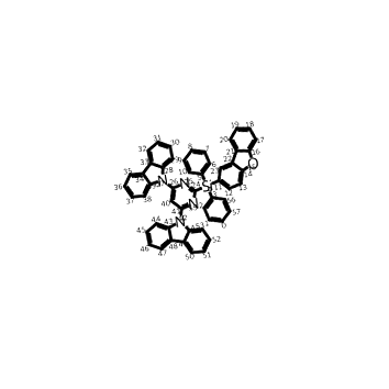 c1ccc([Si](c2ccccc2)(c2ccc3oc4ccccc4c3c2)c2nc(-n3c4ccccc4c4ccccc43)cc(-n3c4ccccc4c4ccccc43)n2)cc1